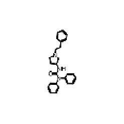 O=C(NC1CCN(CCc2ccccc2)C1)N(c1ccccc1)c1ccccc1